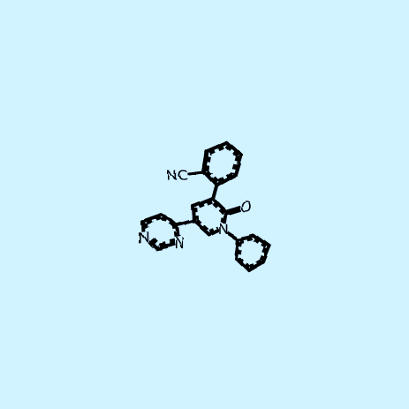 N#Cc1ccccc1-c1cc(-c2ccncn2)cn(-c2ccccc2)c1=O